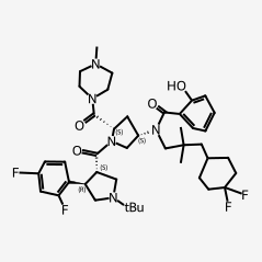 CN1CCN(C(=O)[C@@H]2C[C@H](N(CC(C)(C)CC3CCC(F)(F)CC3)C(=O)c3ccccc3O)CN2C(=O)[C@@H]2CN(C(C)(C)C)C[C@H]2c2ccc(F)cc2F)CC1